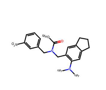 CCCN(CCC)c1cc2c(cc1CN(Cc1cccc([N+](=O)[O-])c1)C(=O)OC)CCC2